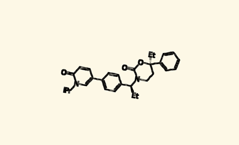 CC[C@@H](c1ccc(-c2ccc(=O)n(C(C)C)c2)cc1)N1CC[C@](CC)(c2ccccc2)OC1=O